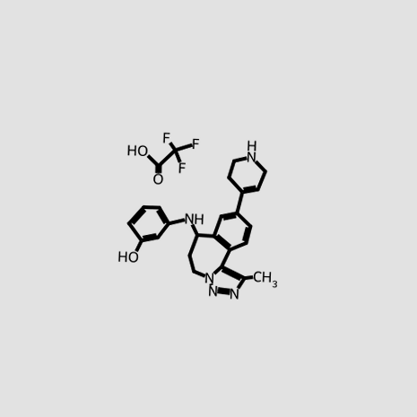 Cc1nnn2c1-c1ccc(C3=CCNCC3)cc1C(Nc1cccc(O)c1)CC2.O=C(O)C(F)(F)F